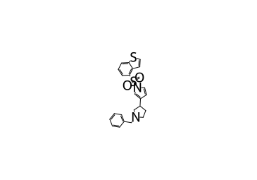 O=S(=O)(c1cccc2sccc12)n1ccc(C2CCN(Cc3ccccc3)C2)c1